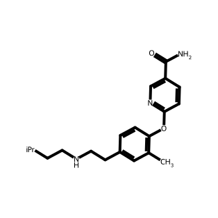 Cc1cc(CCNCCC(C)C)ccc1Oc1ccc(C(N)=O)cn1